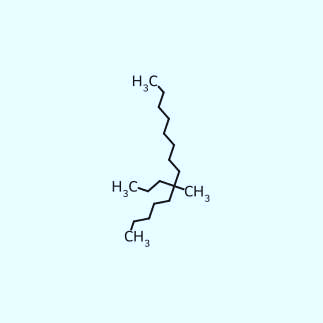 CCCCCCCCC(C)(CCC)CCCCC